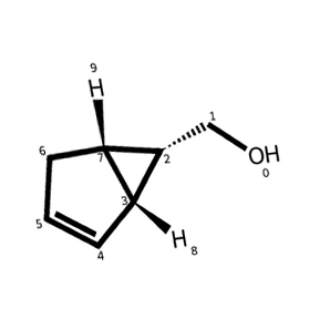 OC[C@@H]1[C@@H]2C=CC[C@@H]21